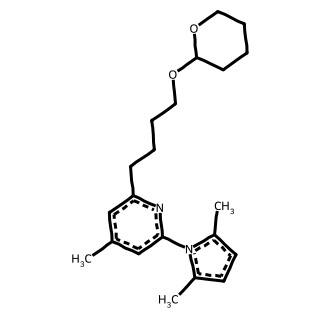 Cc1cc(CCCCOC2CCCCO2)nc(-n2c(C)ccc2C)c1